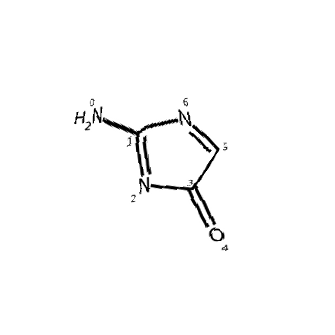 NC1=NC(=O)C=N1